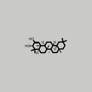 CC1(C)CC[C@]2(C)CC[C@]3(C)[C@H](CC[C@@H]4[C@@]5(C)C=C(O)[C@H](O)C(C)(C)[C@@H]5CC[C@]43C)[C@@H]2C1